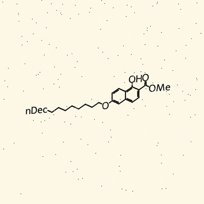 CCCCCCCCCCCCCCCCCCOc1ccc2c(O)c(C(=O)OC)ccc2c1